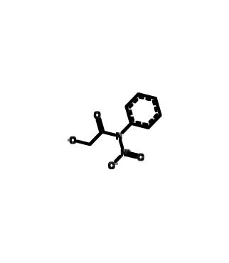 [O]CC(=O)N(c1ccccc1)[N+](=O)[O-]